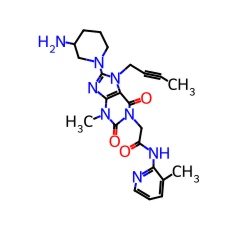 CC#CCn1c(N2CCCC(N)C2)nc2c1c(=O)n(CC(=O)Nc1ncccc1C)c(=O)n2C